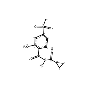 CS(=O)(=O)c1ccc(C(=O)C(C#N)C(=O)C2CC2)c(C(F)(F)F)c1